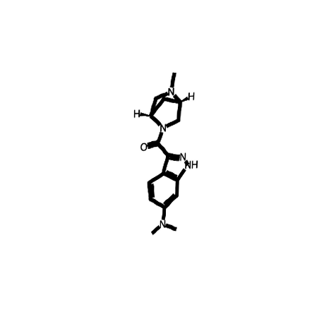 CN(C)c1ccc2c(C(=O)N3C[C@@H]4C[C@H]3CN4C)n[nH]c2c1